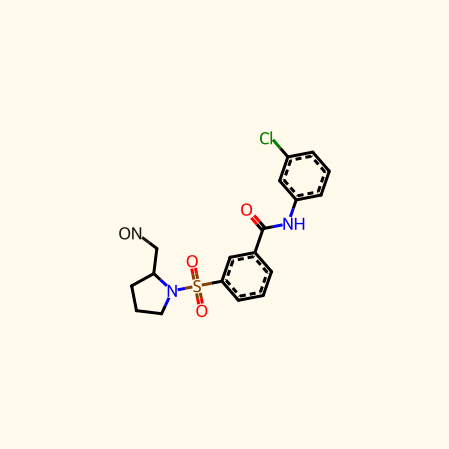 O=NCC1CCCN1S(=O)(=O)c1cccc(C(=O)Nc2cccc(Cl)c2)c1